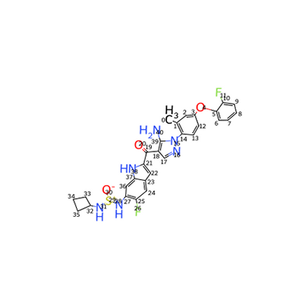 Cc1cc(Oc2ccccc2F)ccc1-n1ncc(C(=O)c2cc3cc(F)c(N[S+]([O-])NC4CCC4)cc3[nH]2)c1N